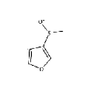 C[S+]([O-])c1[c]coc1